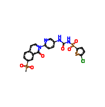 CS(=O)(=O)c1ccc2ccn(-c3ccc(NC(=O)NS(=O)(=O)c4ccc(Cl)s4)cn3)c(=O)c2c1